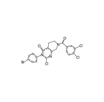 O=C(c1ccc(Cl)c(Cl)c1)N1CCc2c(nc(Cl)n(-c3ccc(Br)cc3)c2=O)C1